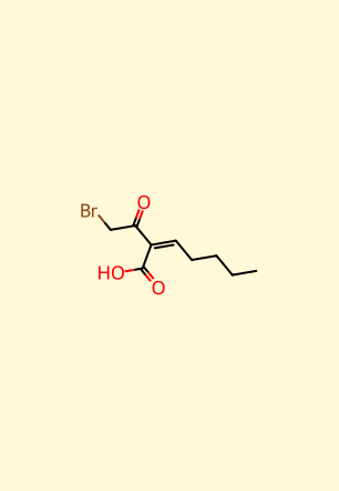 CCCCC=C(C(=O)O)C(=O)CBr